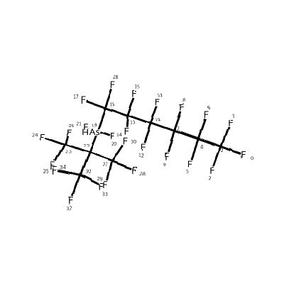 FC(F)(F)C(F)(F)C(F)(F)C(F)(F)C(F)(F)C(F)(F)[AsH](F)(F)C(C(F)(F)F)(C(F)(F)F)C(F)(F)F